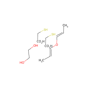 CC=COC=CC.O=C(O)CS.O=C(O)CS.OCCO